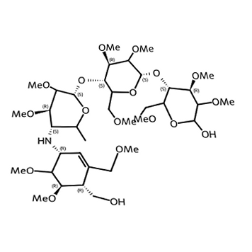 COCC1=C[C@@H](N[C@H]2C(C)O[C@@H](O[C@H]3C(COC)O[C@@H](O[C@H]4C(COC)OC(O)C(OC)[C@@H]4OC)C(OC)[C@@H]3OC)C(OC)[C@@H]2OC)C(OC)[C@H](OC)[C@H]1CO